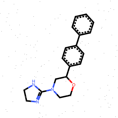 c1ccc(-c2ccc(C3CN(C4=NCCN4)CCO3)cc2)cc1